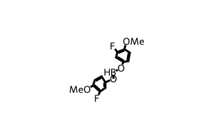 COc1ccc(OBOc2ccc(OC)c(F)c2)cc1F